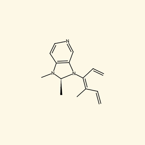 C=C/C(C)=C(\C=C)N1c2cnccc2N(C)[C@@H]1C